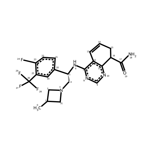 CC1CN(C[C@@H](Nc2ncnc3c2C=CCC3C(N)=O)c2ccc(F)c(C(F)(F)F)c2)C1